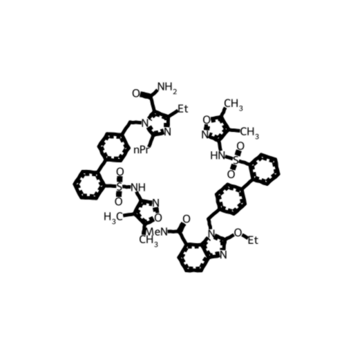 CCCc1nc(CC)c(C(N)=O)n1Cc1ccc(-c2ccccc2S(=O)(=O)Nc2noc(C)c2C)cc1.CCOc1nc2cccc(C(=O)NC)c2n1Cc1ccc(-c2ccccc2S(=O)(=O)Nc2noc(C)c2C)cc1